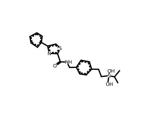 CC(C)[Si](O)(O)CCc1ccc(CNC(=O)c2nc(-c3ccccc3)cs2)cc1